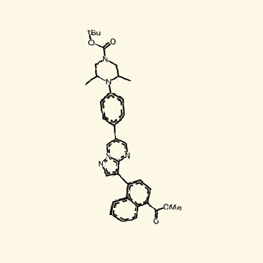 COC(=O)c1ccc(-c2cnn3cc(-c4ccc(N5C(C)CN(C(=O)OC(C)(C)C)CC5C)cc4)cnc23)c2ccccc12